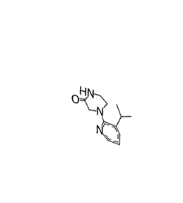 CC(C)c1cccnc1N1CCNC(=O)C1